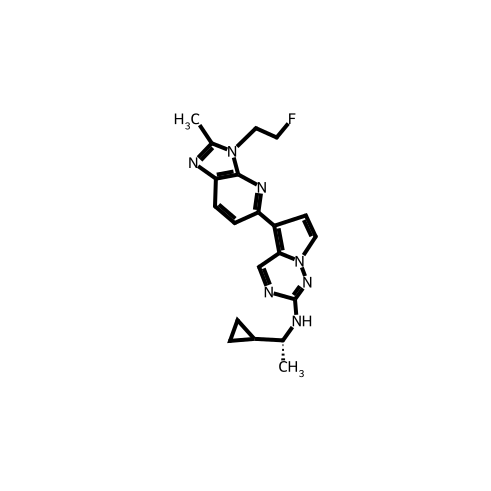 Cc1nc2ccc(-c3ccn4nc(N[C@H](C)C5CC5)ncc34)nc2n1CCF